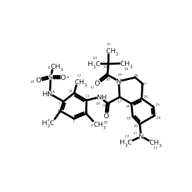 Cc1cc(C)c(NS(C)(=O)=O)c(C)c1NC(=O)C1c2cc(N(C)C)ccc2CCN1C(=O)C(C)(C)C